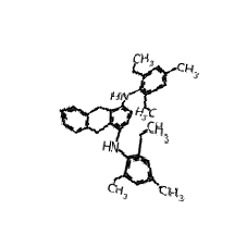 CCc1cc(C)cc(CC)c1Nc1ccc(Nc2c(CC)cc(C)cc2CC)c2c1Cc1ccccc1C2